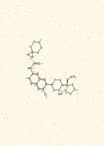 CC[C@@]1(N2CCN(c3cc4cc(NC(=O)[C@@H]5CC56CCOCC6)ncc4cc3Cl)CC2)COC[C@@H]1O